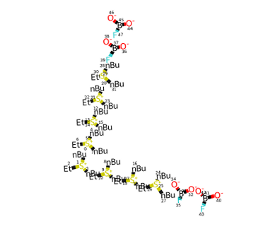 CCCC[S+](CC)CCCC.CCCC[S+](CC)CCCC.CCCC[S+](CC)CCCC.CCCC[S+](CC)CCCC.CCCC[S+](CC)CCCC.CCCC[S+](CC)CCCC.CCCC[S+](CC)CCCC.CCCC[S+](CC)CCCC.[O-]B([O-])F.[O-]B([O-])F.[O-]B([O-])F.[O-]B([O-])F